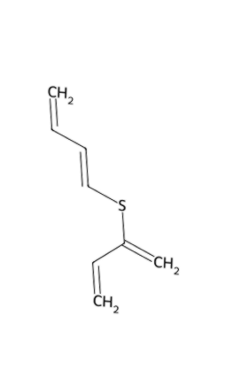 C=C/C=C/SC(=C)C=C